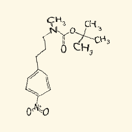 CN(CCCc1ccc([N+](=O)[O-])cc1)C(=O)OC(C)(C)C